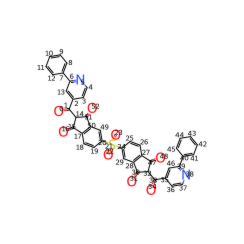 O=C(c1ccnc(-c2ccccc2)c1)C1C(=O)c2ccc(S(=O)(=O)c3ccc4c(c3)C(=O)C(C(=O)c3ccnc(-c5ccccc5)c3)C4=O)cc2C1=O